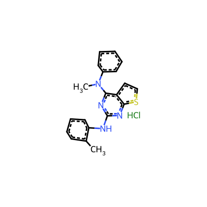 Cc1ccccc1Nc1nc(N(C)c2ccccc2)c2ccsc2n1.Cl